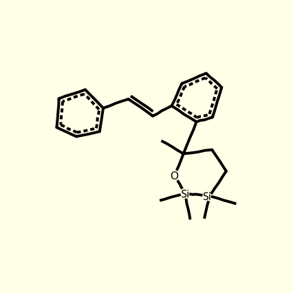 CC1(c2ccccc2C=Cc2ccccc2)CC[Si](C)(C)[Si](C)(C)O1